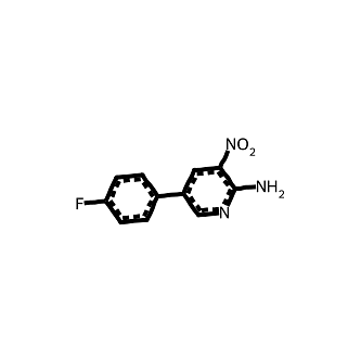 Nc1ncc(-c2ccc(F)cc2)cc1[N+](=O)[O-]